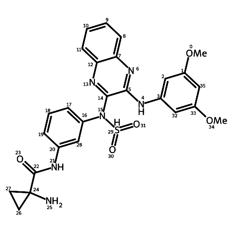 COc1cc(Nc2nc3ccccc3nc2N(c2cccc(NC(=O)C3(N)CC3)c2)[SH](=O)=O)cc(OC)c1